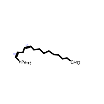 CCCCC/C=C\C/C=C\CCCCCCCCC=O